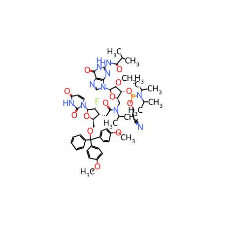 COc1ccc(C(OC[C@H]2O[C@@H](n3ccc(=O)[nH]c3=O)[C@H](F)[C@@H]2CC(=O)N(C[C@H]2O[C@@H](n3cnc4c(=O)[nH]c(NC(=O)C(C)C)nc43)[C@H](OC)[C@@H]2OP(OCCC#N)N(C(C)C)C(C)C)C(C)C)(c2ccccc2)c2ccc(OC)cc2)cc1